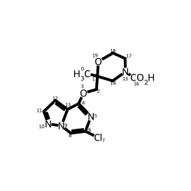 CC1(COc2nc(Cl)cn3nccc23)CN(C(=O)O)CCO1